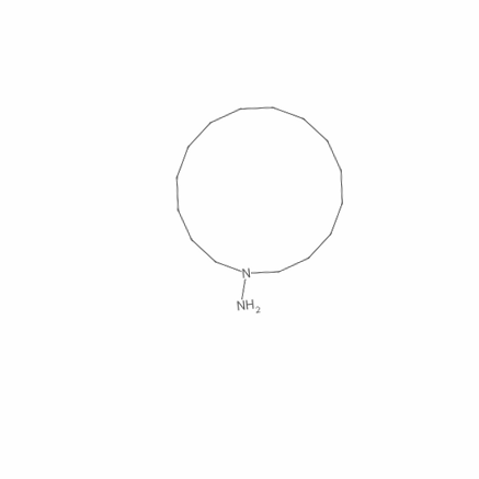 NN1CCCCCCCCCCCCCCC1